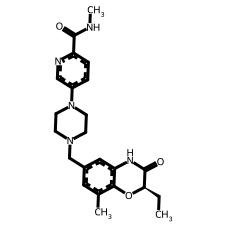 CC[C@H]1Oc2c(C)cc(CN3CCN(c4ccc(C(=O)NC)nc4)CC3)cc2NC1=O